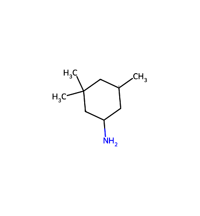 C[C]1CC(N)CC(C)(C)C1